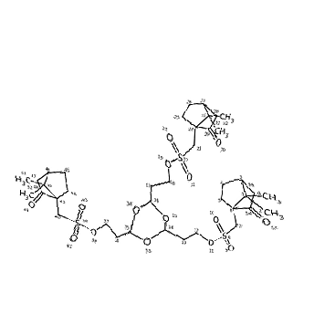 CC1(C)C2CCC1(CS(=O)(=O)OCCC1OC(CCOS(=O)(=O)CC34CCC(CC3=O)C4(C)C)OC(CCOS(=O)(=O)CC34CCC(CC3=O)C4(C)C)O1)C(=O)C2